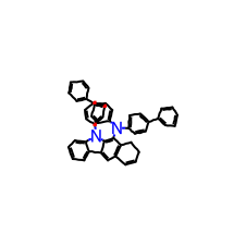 C1=Cc2cc3c4ccccc4n(-c4ccccc4)c3c(N(c3ccc(-c4ccccc4)cc3)c3ccc(-c4ccccc4)cc3)c2CC1